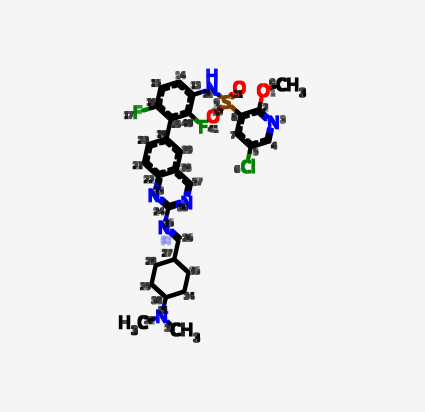 COc1ncc(Cl)cc1S(=O)(=O)Nc1ccc(F)c(-c2ccc3nc(/N=C/C4CCC(N(C)C)CC4)ncc3c2)c1F